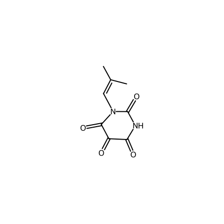 CC(C)=CN1C(=O)NC(=O)C(=O)C1=O